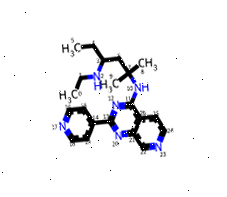 CCNC(CC)CC(C)(C)Nc1nc(-c2ccncc2)nc2cnccc12